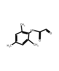 Cc1cc(C)c(NC(=O)C=O)c(C)c1